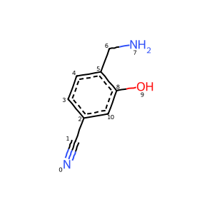 N#Cc1ccc(CN)c(O)c1